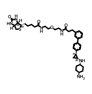 N[C@H]1CC[C@H](N[C@@H]2C[C@H]2c2ccc(-c3cccc(CCC(=O)NCCOCCNC(=O)CCCC[C@@H]4SC[C@@H]5NC(=O)N[C@@H]54)c3)cc2)CC1